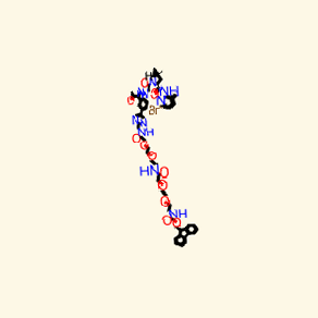 CC(=O)c1nn(CC(=O)N2[C@H](C(=O)Nc3nc(Br)ccc3C)C[C@@]3(C)C[C@@H]23)c2ccc(-c3cnc(CNC(=O)COCCOCCNC(=O)COCCOCCNC(=O)OCC4c5ccccc5-c5ccccc54)nc3)cc12